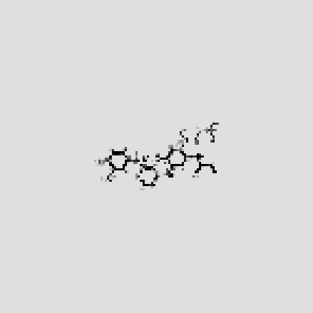 C=CC(=O)Nc1cc(Nc2cc(Nc3ccc(Cl)c(C(F)(F)F)c3)ncn2)c(OC)cc1N(C)CCN(C)C